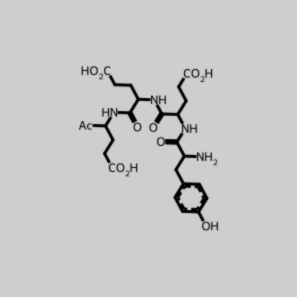 CC(=O)C(CCC(=O)O)NC(=O)C(CCC(=O)O)NC(=O)C(CCC(=O)O)NC(=O)C(N)Cc1ccc(O)cc1